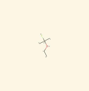 CCO[Si](C)(C)F